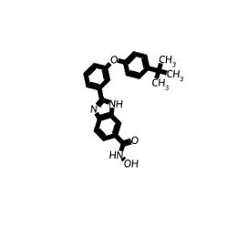 CC(C)(C)c1ccc(Oc2cccc(-c3nc4ccc(C(=O)NO)cc4[nH]3)c2)cc1